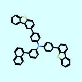 c1cc(-c2cccc3ccccc23)cc(N(c2ccc(-c3ccc4sc5ccccc5c4c3)cc2)c2ccc(-c3cccc4c3sc3ccccc34)cc2)c1